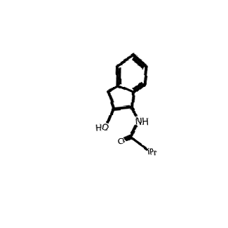 CC(C)C(=O)NC1c2ccccc2CC1O